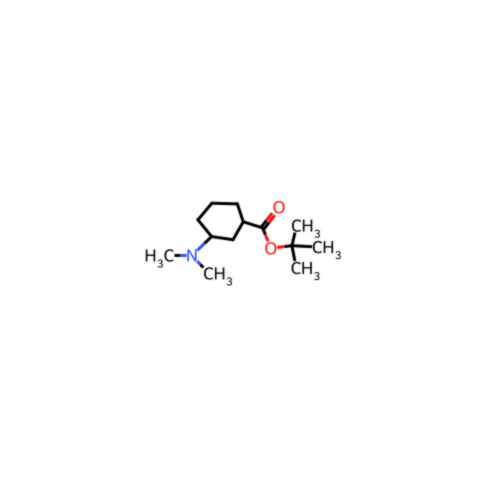 CN(C)C1CCCC(C(=O)OC(C)(C)C)C1